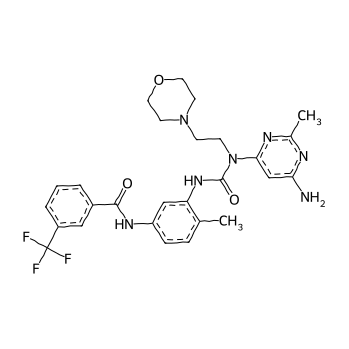 Cc1nc(N)cc(N(CCN2CCOCC2)C(=O)Nc2cc(NC(=O)c3cccc(C(F)(F)F)c3)ccc2C)n1